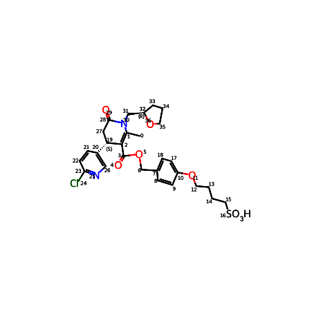 CC1=C(C(=O)OCc2ccc(OCCCCS(=O)(=O)O)cc2)[C@H](c2ccc(Cl)nc2)CC(=O)N1C[C@H]1CCCO1